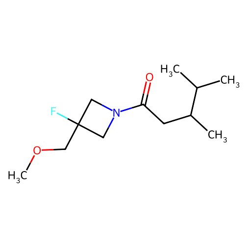 COCC1(F)CN(C(=O)CC(C)C(C)C)C1